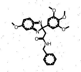 COc1ccc2c(c1)=NC(CC(=O)NCc1ccccc1)(c1cc(OC)c(OC)c(OC)c1)N=2